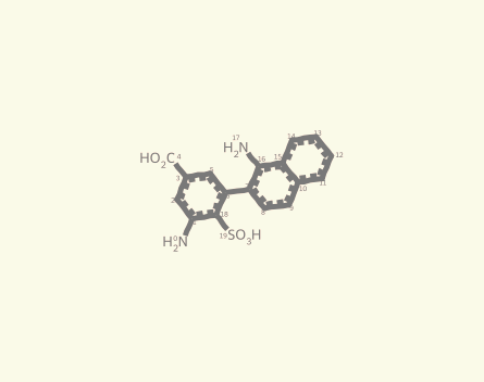 Nc1cc(C(=O)O)cc(-c2ccc3ccccc3c2N)c1S(=O)(=O)O